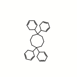 C1=CCC(C2(C3C=CC=CC3)CCCC(C3C=CC=CC3)(C3C=CC=CC3)CCC2)C=C1